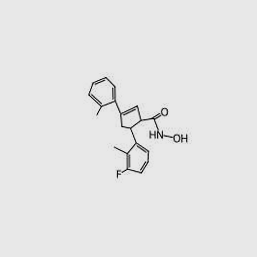 Cc1ccccc1C1=CC(C(=O)NO)C(c2cccc(F)c2C)C1